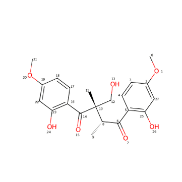 COc1ccc(C(=O)[C@H](C)[C@@](C)(CO)C(=O)c2ccc(OC)cc2O)c(O)c1